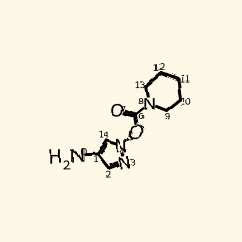 Nc1cnn(OC(=O)N2CCCCC2)c1